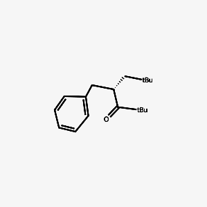 CC(C)(C)C[C@@H](Cc1ccccc1)C(=O)C(C)(C)C